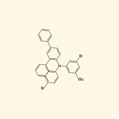 CC(C)(C)c1cc(Br)cc(N(c2ccc(Br)cc2)c2ccc(-c3ccccc3)cc2-c2ccccc2)c1